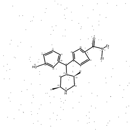 CCN(CC)C(=O)c1ccc(C(c2cccc(O)c2)N2C[C@H](C)NC[C@@H]2C)cc1